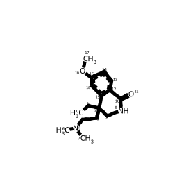 CCC1(CCN(C)C)CNC(=O)c2ccc(OC)cc21